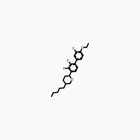 CCCCCC1CCC(c2ccc(-c3ccc(OCC)c(F)c3)c(F)c2F)OC1